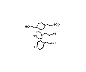 O=S(=O)(O)CCN1CCN(CCO)CC1.OCCN1CCNCC1.OCCN1CCNCC1